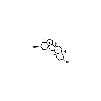 C[C@]12CC[C@@H](O)C[C@@H]1CC[C@H]1[C@@H]3CC[C@@H]4C[C@H](C#N)CCC43CC[C@@H]12